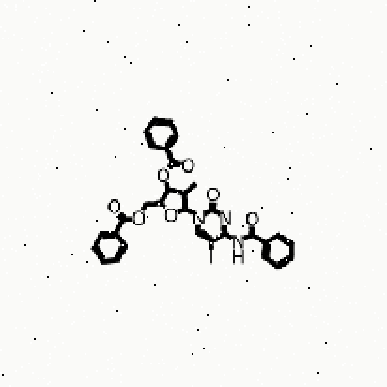 CC1C(OC(=O)c2ccccc2)C(COC(=O)c2ccccc2)OC1n1cc(I)c(NC(=O)c2ccccc2)nc1=O